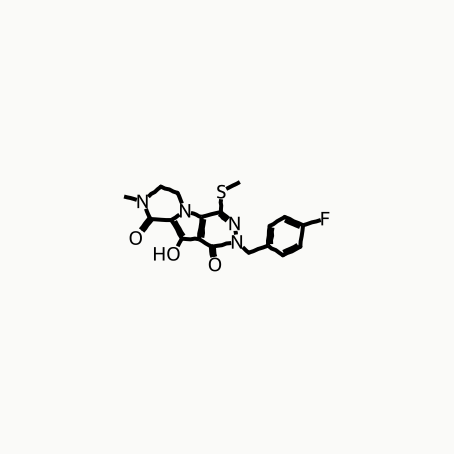 CSc1nn(Cc2ccc(F)cc2)c(=O)c2c(O)c3n(c12)CCN(C)C3=O